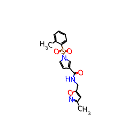 Cc1cc(CNC(=O)c2ccn(S(=O)(=O)c3ccccc3C)c2)on1